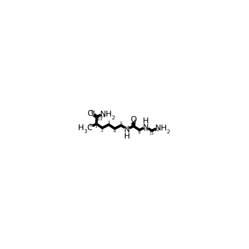 CC(CCCCNC(=O)CNCN)C(N)=O